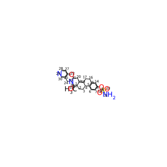 C[C@]12CCC3c4ccc(OS(N)(=O)=O)cc4CCC3C1CC(=O)N(Cc1cccnc1)C2=O